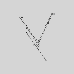 CCCCCCCCCCCCCCCCC(=O)OC(COC(=O)CCCCCCCCCCCCCCC)COC(=O)C(COCCOCCOCCOCCOCCOCCOCCOCCOCCOCCCO)OCCOCCOCCOCCOCCOCCOCCOCCOCCOCCCO